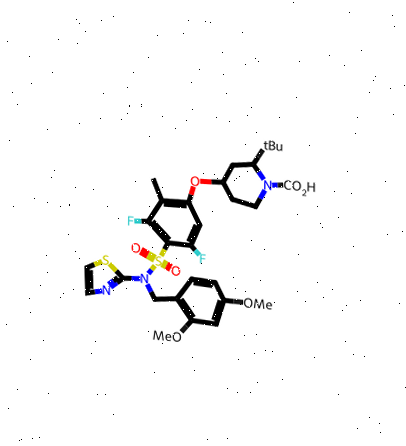 COc1ccc(CN(c2nccs2)S(=O)(=O)c2c(F)cc(OC3CCN(C(=O)O)C(C(C)(C)C)C3)c(C)c2F)c(OC)c1